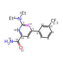 CCN(CC)C1=IC(c2cccc(C(F)(F)F)c2)=CC(C(N)=O)=N1